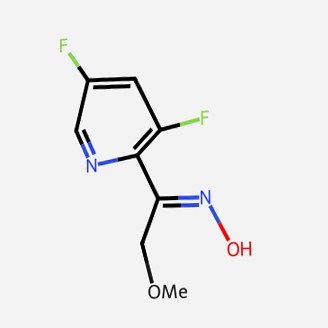 COC/C(=N\O)c1ncc(F)cc1F